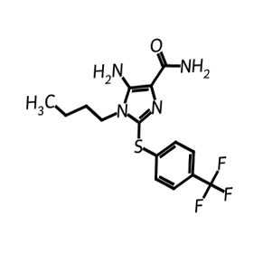 CCCCn1c(Sc2ccc(C(F)(F)F)cc2)nc(C(N)=O)c1N